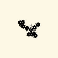 c1ccc(-c2ccc(C3NC(c4ccc(-c5ccc6c(c5)-c5cccc7cccc(c57)O6)cc4)NC(c4c5ccccc5cc5c4ccc4ccccc45)N3)cc2)cc1